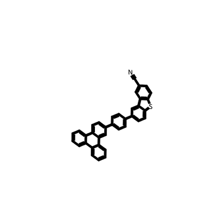 N#Cc1ccc2sc3ccc(-c4ccc(-c5ccc6c7ccccc7c7ccccc7c6c5)cc4)cc3c2c1